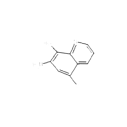 Nc1cc(Cl)c2cccnc2c1O